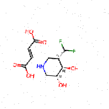 O=C(O)C=CC(=O)O.O[C@H]1[C@H](O)CNC[C@@H]1C(F)F